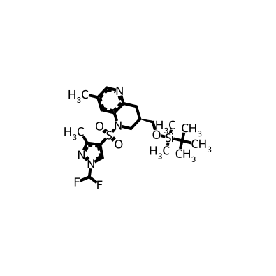 Cc1cnc2c(c1)N(S(=O)(=O)c1cn(C(F)F)nc1C)C[C@H](CO[Si](C)(C)C(C)(C)C)C2